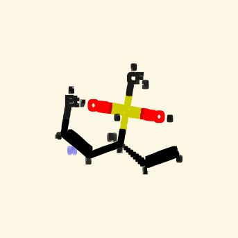 C=C[C@H](/C=C\CC)S(=O)(=O)C(F)(F)F